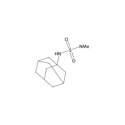 CNS(=O)(=O)NC12CC3CC(CC(C3)C1)C2